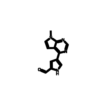 Cn1ccc2c(-c3c[nH]c(C=O)c3)ncnc21